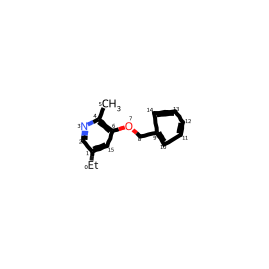 CCc1cnc(C)c(OCc2ccccc2)c1